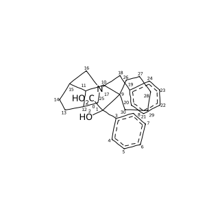 O=C(O)C(O)(c1ccccc1)C1(CC2C3CCC2CN(Cc2ccccc2)C3)CCCCC1